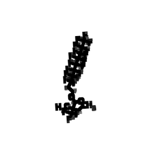 CCC(C)(C(=O)OCCC(F)(F)C(F)(F)C(F)(F)C(F)(F)C(F)(F)C(F)(F)C(F)(F)C(F)(F)F)C(F)(F)F